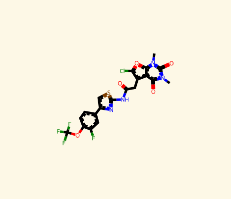 Cn1c(=O)c2c(CC(=O)Nc3nc(-c4ccc(OC(F)(F)F)c(F)c4)cs3)c(Cl)oc2n(C)c1=O